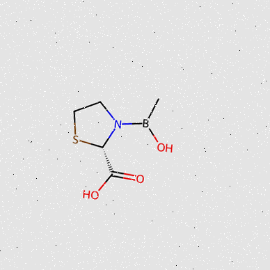 CB(O)N1CCS[C@H]1C(=O)O